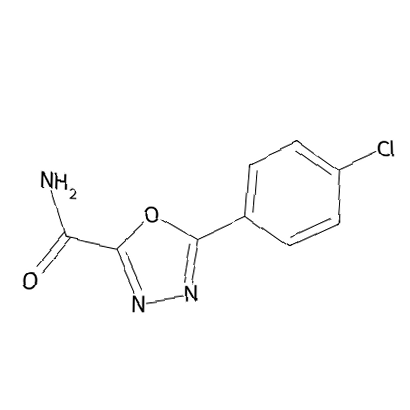 NC(=O)c1nnc(-c2ccc(Cl)cc2)o1